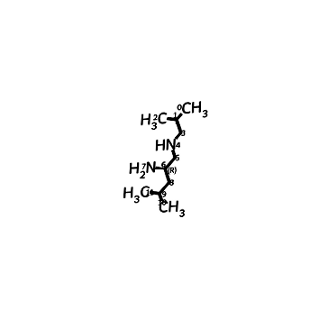 C[C](C)CNC[C@H](N)CC(C)C